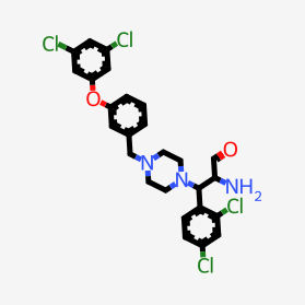 NC(C=O)C(c1ccc(Cl)cc1Cl)N1CCN(Cc2cccc(Oc3cc(Cl)cc(Cl)c3)c2)CC1